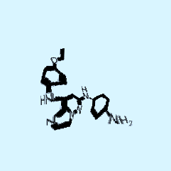 CCOc1ccc(Nc2cc(N[C@H]3CC[C@H](N)CC3)nn3ccnc23)cc1